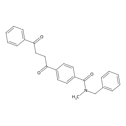 CN(Cc1ccccc1)C(=O)c1ccc(C(=O)CCC(=O)c2ccccc2)cc1